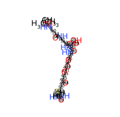 CC(C)(C)OC(=O)NCCCCCC(=O)NCCCCCC(=O)N[C@@H](CCC(=O)O)C(=O)NCCCOCCOCCOCCCCC(=O)CCCC[C@@H]1SC[C@@H]2NC(=O)N[C@@H]21